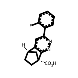 O=C(O)[C@]12CC[C@H](C1)c1cc(-c3ccccc3F)nnc12